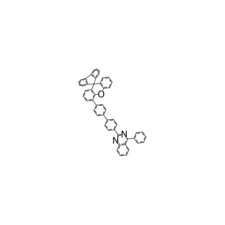 c1ccc(-c2nc(-c3ccc(-c4ccc(-c5cccc6c5Oc5ccccc5C65c6ccccc6-c6ccccc65)cc4)cc3)nc3ccccc23)cc1